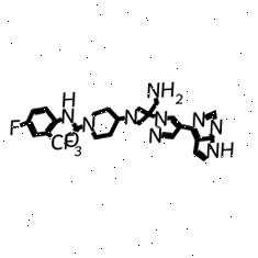 NCC1(n2cc(-c3ncnc4[nH]ccc34)cn2)CN(C2CCN(C(=O)Nc3ccc(F)cc3C(F)(F)F)CC2)C1